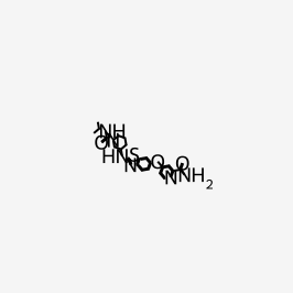 CC(C)NC(=O)N1CCCC(Nc2nc3ccc(Oc4ccnc(C(N)=O)c4)cc3s2)C1